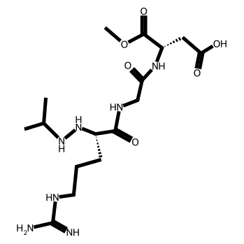 COC(=O)[C@H](CC(=O)O)NC(=O)CNC(=O)[C@H](CCCNC(=N)N)NNC(C)C